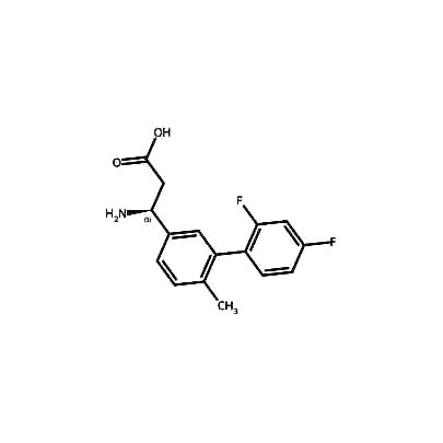 Cc1ccc([C@@H](N)CC(=O)O)cc1-c1ccc(F)cc1F